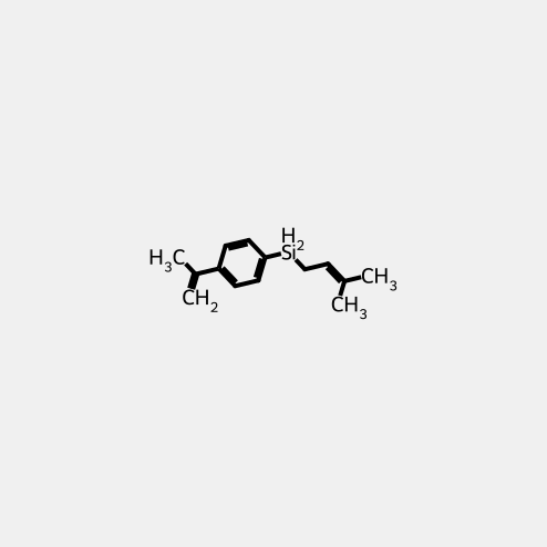 C=C(C)c1ccc([SiH2]CC=C(C)C)cc1